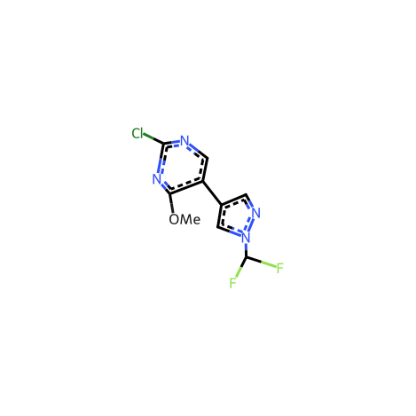 COc1nc(Cl)ncc1-c1cnn(C(F)F)c1